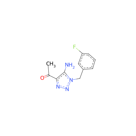 CC(=O)c1nnn(Cc2cccc(F)c2)c1N